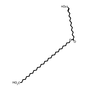 CCCCCCCCC=CCCCCCCCCCCCC(=O)OCCCCCCCCCCCCCCCCCCCCCCCCCCCC(=O)O